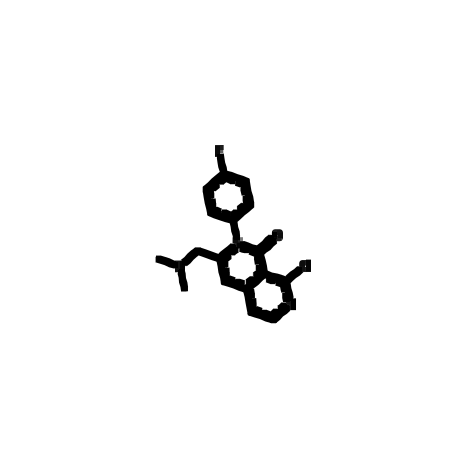 CN(C)Cc1cc2ccnc(Cl)c2c(=O)n1-c1ccc(F)cc1